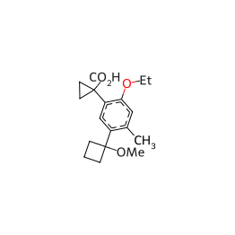 CCOc1cc(C)c(C2(OC)CCC2)cc1C1(C(=O)O)CC1